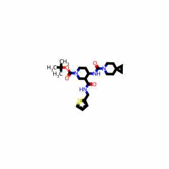 CC(C)(C)OC(=O)N1CCC(NC(=O)N2CCC3(CC2)CC3)C(C(=O)NCc2cccs2)C1